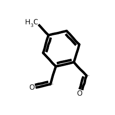 Cc1ccc([C]=O)c([C]=O)c1